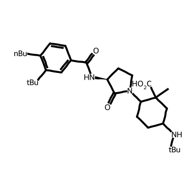 CCCCc1ccc(C(=O)N[C@H]2CCN(C3CCC(NC(C)(C)C)CC3(C)C(=O)O)C2=O)cc1C(C)(C)C